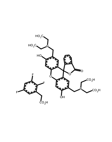 O=C(O)CN(CC(=O)O)Cc1cc2c(cc1O)Oc1cc(O)c(CN(CC(=O)O)CC(=O)O)cc1C21OC(=O)c2ccccc21.O=C(O)Cc1cc(F)cc(F)c1F